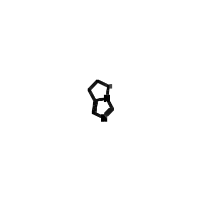 [C]1CCc2cncn21